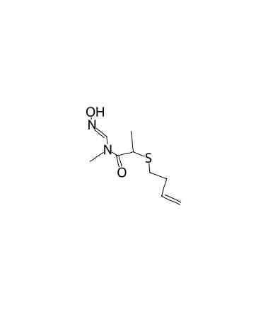 C=CCCSC(C)C(=O)N(C)C=NO